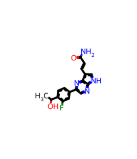 CC(O)c1ccc(-c2cnc3[nH]cc(C=CC(N)=O)c3n2)cc1F